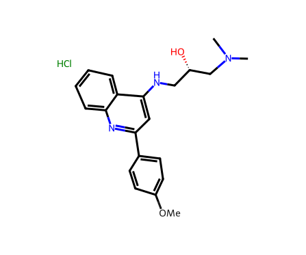 COc1ccc(-c2cc(NC[C@H](O)CN(C)C)c3ccccc3n2)cc1.Cl